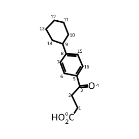 O=C(O)CCC(=O)c1ccc(C2CCCCC2)cc1